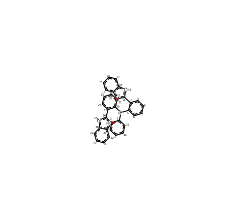 c1ccc(P(c2ccccc2-c2nc3ccccc3o2)c2ccccc2-c2nc3ccccc3o2)cc1